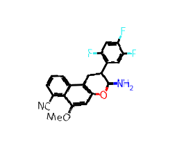 COc1cc2c(c3cccc(C#N)c13)CC(c1cc(F)c(F)cc1F)C(N)O2